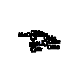 COc1cc(/C=N/c2c(-c3cc(OC)c(OC)c(OC)c3)nc3cccc(Br)n23)cc(OC)c1OC